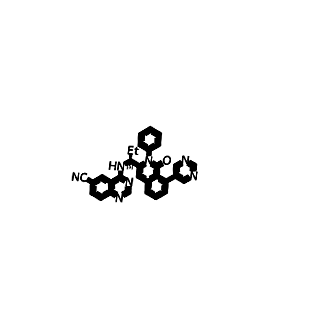 CC[C@H](Nc1ncnc2ccc(C#N)cc12)c1cc2cccc(-c3cncnc3)c2c(=O)n1-c1ccccc1